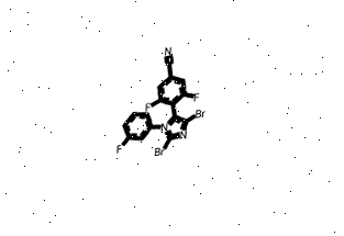 N#Cc1cc(F)c(-c2c(Br)nc(Br)n2-c2cccc(F)c2)c(F)c1